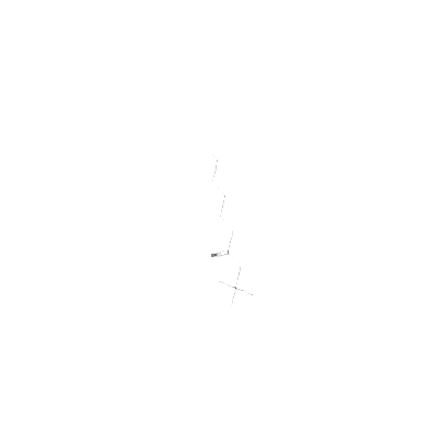 BCCCCCC(=C)CC(C)(C)C